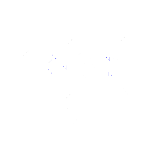 C1=CC(c2nc(-c3cccc4c3oc3cccc(-c5nc(-c6ccccc6)nc(-c6ccc(-c7ccccc7)cc6)n5)c34)nc3c2sc2ccccc23)=CCC1